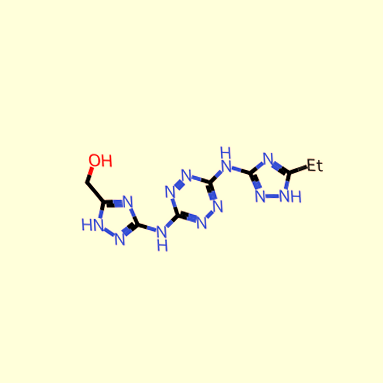 CCc1nc(Nc2nnc(Nc3n[nH]c(CO)n3)nn2)n[nH]1